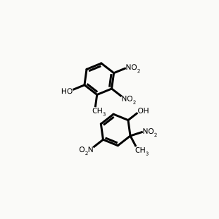 CC1([N+](=O)[O-])C=C([N+](=O)[O-])C=CC1O.Cc1c(O)ccc([N+](=O)[O-])c1[N+](=O)[O-]